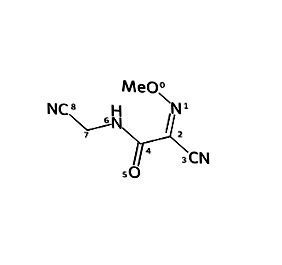 CO/N=C(/C#N)C(=O)NCC#N